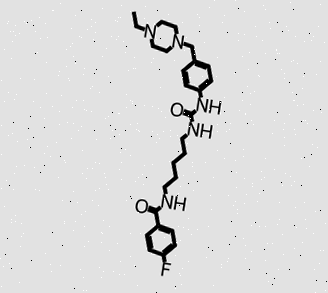 CCN1CCN(Cc2ccc(NC(=O)NCCCCCNC(=O)c3ccc(F)cc3)cc2)CC1